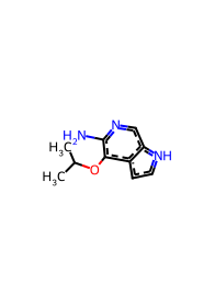 CC(C)Oc1c(N)ncc2[nH]ccc12